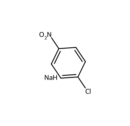 O=[N+]([O-])c1ccc(Cl)cc1.[NaH]